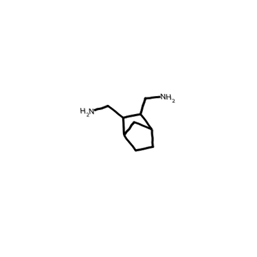 NCC1C2CCC(C2)C1CN